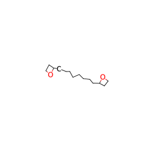 C(CCCCC1CCO1)CCCC1CCO1